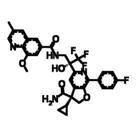 COc1cc(C(=O)NC[C@](O)(c2cc3c(c(-c4ccc(F)cc4)n2)OC[C@@]3(C(N)=O)C2CC2)C(F)(F)F)cc2cc(C)cnc12